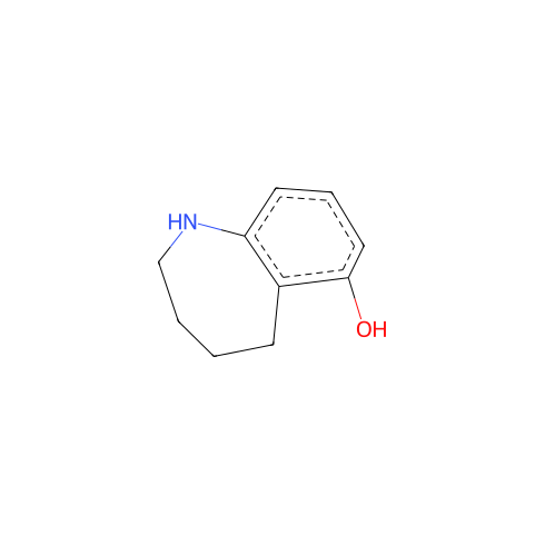 Oc1cccc2c1CCCCN2